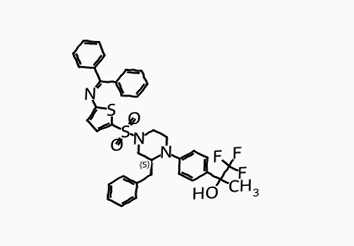 CC(O)(c1ccc(N2CCN(S(=O)(=O)c3ccc(N=C(c4ccccc4)c4ccccc4)s3)C[C@@H]2Cc2ccccc2)cc1)C(F)(F)F